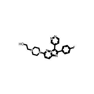 OCCN1CCN(c2ccc3nc(-c4ccc(F)cc4)c(-c4ccnnc4)n3n2)CC1